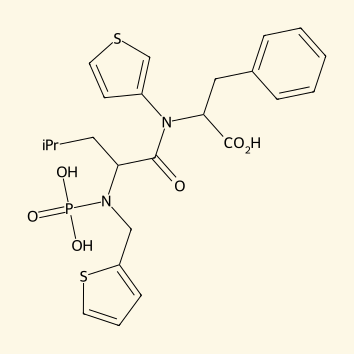 CC(C)CC(C(=O)N(c1ccsc1)C(Cc1ccccc1)C(=O)O)N(Cc1cccs1)P(=O)(O)O